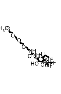 COCCOCCOCCOCCNC(=O)NC[C@H]1O[C@@H]2CCN(C(=O)C(F)(F)F)[C@@H]2[C@@H](O)[C@H]1O